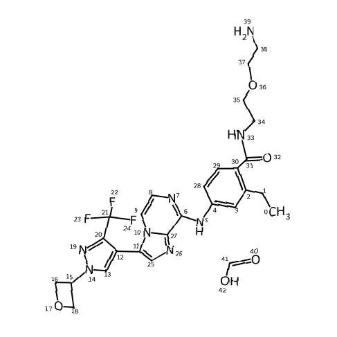 CCc1cc(Nc2nccn3c(-c4cn(C5COC5)nc4C(F)(F)F)cnc23)ccc1C(=O)NCCOCCN.O=CO